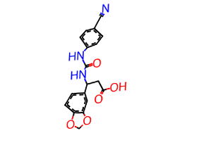 N#Cc1ccc(NC(=O)NC(CC(=O)O)c2ccc3c(c2)OCO3)cc1